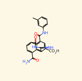 Cc1cccc(NC(=O)c2cc(C(=O)O)c3c(=N)[nH]c(=O)c4ccc(C(N)=O)c3c24)c1